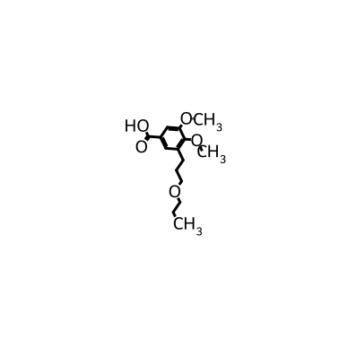 CCCOCCCc1cc(C(=O)O)cc(OC)c1OC